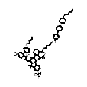 CCCCC[C@H]1CC[C@H](c2ccc(-c3ccc(OCCCCCC(=O)c4cccc5c4c(Br)cc4c6c(c7c(c45)OC(c4ccc(OC)cc4)(c4ccc(OCCCC)cc4)C=C7)C(C)(C)c4cc(C(F)(F)F)ccc4-6)cc3)cc2)CC1